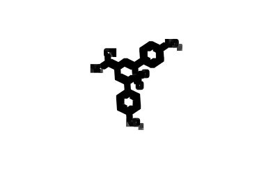 N#CC(C#N)=C1C=C(c2ccc([N+](=O)[O-])cc2)S(=O)(=O)C(c2ccc([N+](=O)[O-])cc2)=C1